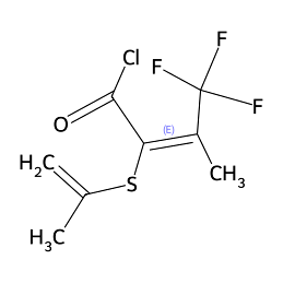 C=C(C)S/C(C(=O)Cl)=C(\C)C(F)(F)F